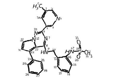 Cc1cncc(-c2nc(NCc3ccccc3NS(C)(=O)=O)c3c(-c4ccccc4)ccn3n2)c1